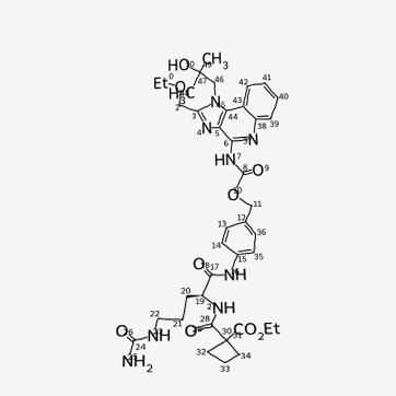 CCOCc1nc2c(NC(=O)OCc3ccc(NC(=O)[C@H](CCCNC(N)=O)NC(=O)C4(C(=O)OCC)CCC4)cc3)nc3ccccc3c2n1CC(C)(C)O